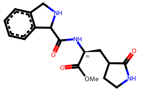 COC(=O)[C@H](CC1CCNC1=O)NC(=O)C1NCc2ccccc21